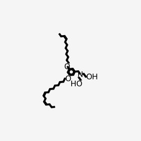 CC/C=C\CCCCCCCCOc1cc(CN(CCO)CCO)cc(OCCCCCCCC/C=C\C/C=C\CCC)c1